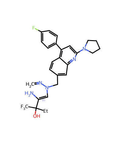 C=NN(/C=C(\N)C(O)(CC)C(F)(F)F)Cc1ccc2c(-c3ccc(F)cc3)cc(N3CCCC3)nc2c1